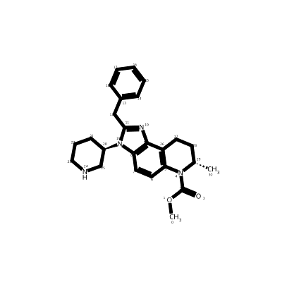 COC(=O)N1c2ccc3c(nc(Cc4ccccc4)n3[C@@H]3CCCNC3)c2CC[C@@H]1C